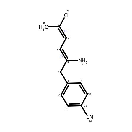 C/C(Cl)=C\C=C(/N)Cc1ccc(C#N)cc1